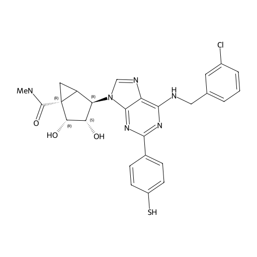 CNC(=O)[C@]12CC1[C@@H](n1cnc3c(NCc4cccc(Cl)c4)nc(-c4ccc(S)cc4)nc31)[C@H](O)[C@@H]2O